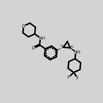 O=C(NC1CCOCC1)c1cccc([C@@H]2C[C@H]2NC2CCC(F)(F)CC2)c1